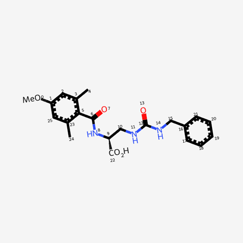 COc1cc(C)c(C(=O)N[C@@H](CNC(=O)NCc2ccccc2)C(=O)O)c(C)c1